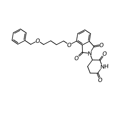 O=C1CCC(N2C(=O)c3cccc(OCCCCOCc4ccccc4)c3C2=O)C(=O)N1